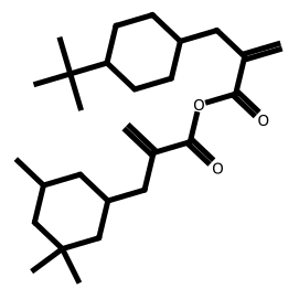 C=C(CC1CCC(C(C)(C)C)CC1)C(=O)OC(=O)C(=C)CC1CC(C)CC(C)(C)C1